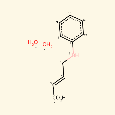 O.O.O=C(O)C=CCBc1ccccc1